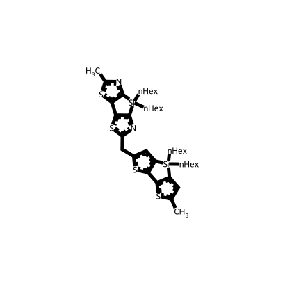 CCCCCC[Si]1(CCCCCC)c2cc(C)sc2-c2sc(Cc3nc4c(s3)-c3sc(C)nc3[Si]4(CCCCCC)CCCCCC)cc21